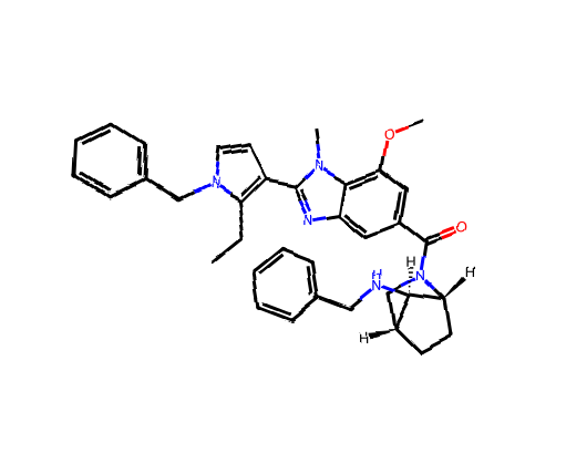 CCc1c(-c2nc3cc(C(=O)N4C[C@H]5CC[C@@H]4[C@@H]5NCc4ccccc4)cc(OC)c3n2C)ccn1Cc1ccccc1